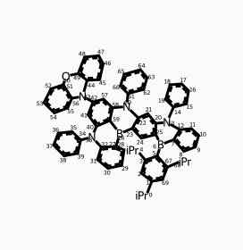 CC(C)c1cc(C(C)C)c(B2c3ccccc3N(c3ccccc3)c3cc4c(cc32)B2c3ccccc3N(c3ccccc3)c3cc(N5c6ccccc6Oc6ccccc65)cc(c32)N4c2ccccc2)c(C(C)C)c1